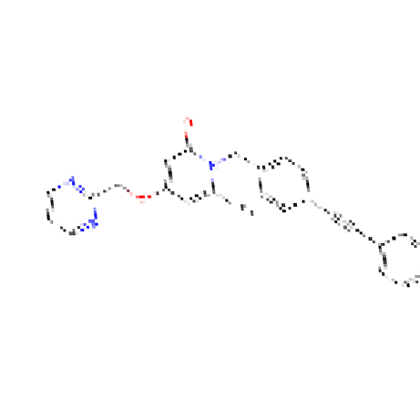 Cc1cc(OCc2ncccn2)cc(=O)n1Cc1ccc(C#Cc2ccccc2)cc1